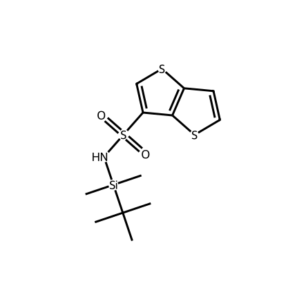 CC(C)(C)[Si](C)(C)NS(=O)(=O)c1csc2ccsc12